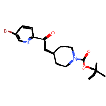 CC(C)(C)OC(=O)N1CCC(CC(=O)c2ccc(Br)cn2)CC1